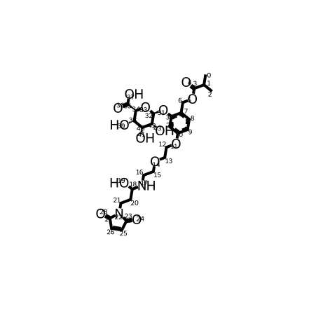 CC(C)C(=O)OCc1ccc(OCCOCCNC(O)CCN2C(=O)C=CC2=O)cc1O[C@@H]1O[C@H](C(=O)O)[C@@H](O)[C@H](O)[C@H]1O